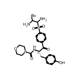 CCC(C)C(N)C(N)S(=O)(=O)c1ccc(C(=O)[C@H](Cc2ccc(O)cc2)NC(=O)N2CCOCC2)cc1